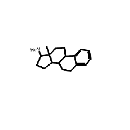 CNC1CCC2C3CCc4ccccc4C3CCC12C